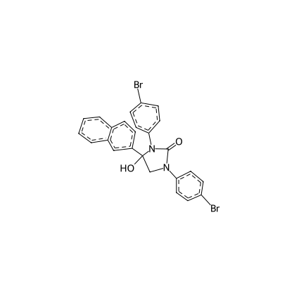 O=C1N(c2ccc(Br)cc2)CC(O)(c2ccc3ccccc3c2)N1c1ccc(Br)cc1